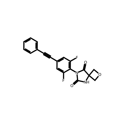 O=C1NC2(COC2)C(=O)N1c1c(F)cc(C#Cc2ccccc2)cc1F